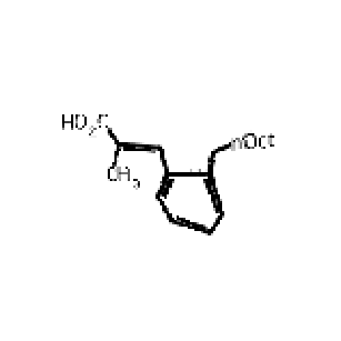 CCCCCCCCCc1ccccc1C=C(C)C(=O)O